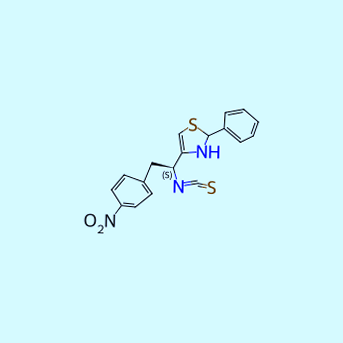 O=[N+]([O-])c1ccc(C[C@H](N=C=S)C2=CSC(c3ccccc3)N2)cc1